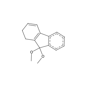 COC1(OC)C2=C(C=CCC2)c2ccccc21